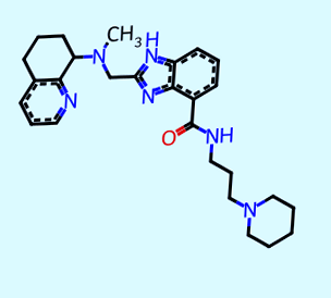 CN(Cc1nc2c(C(=O)NCCCN3CCCCC3)cccc2[nH]1)C1CCCc2cccnc21